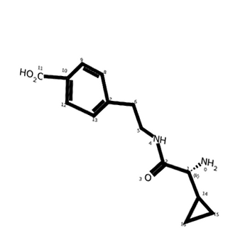 N[C@@H](C(=O)NCCc1ccc(C(=O)O)cc1)C1CC1